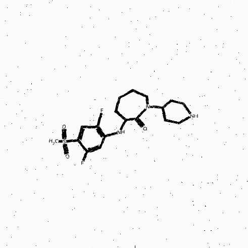 CS(=O)(=O)c1cc(F)c(NC2CCCCN(C3CCNCC3)C2=O)cc1F